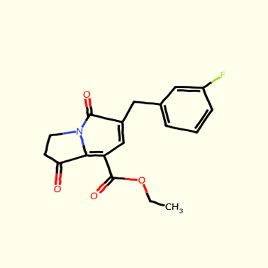 CCOC(=O)c1cc(Cc2cccc(F)c2)c(=O)n2c1C(=O)CC2